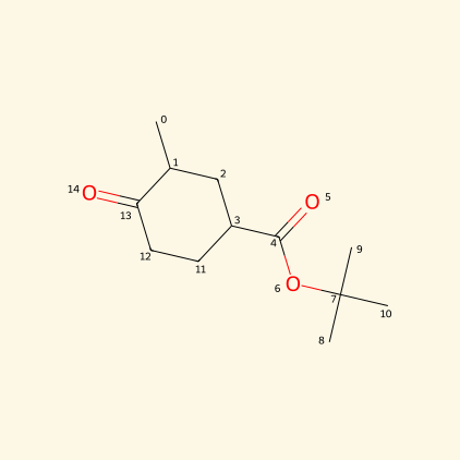 CC1CC(C(=O)OC(C)(C)C)CCC1=O